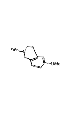 CCCN1CCc2cc(OC)ccc2C1